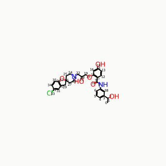 CC(O)c1cccc(NC(=O)c2ccc(O)cc2OC[C@@H](O)CN2CCC3(CC2)Cc2cc(Cl)ccc2O3)c1